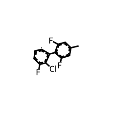 Cc1cc(F)c(-c2[c]ccc(F)c2Cl)c(F)c1